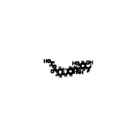 CC(C)c1cc(C(=N)Nc2ccc(CN3CCN(C(=O)OCCO)CC3)cc2)c(O)cc1O